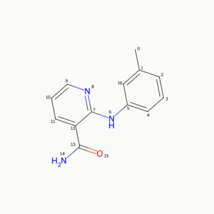 Cc1cccc(Nc2ncccc2C(N)=O)c1